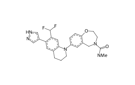 CNC(=O)N1CCOc2ccc(N3CCCc4cc(-c5cn[nH]c5)c(C(F)F)cc43)cc2C1